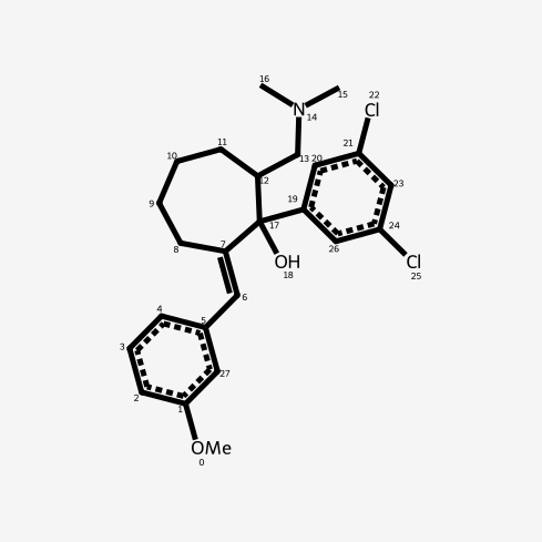 COc1cccc(/C=C2\CCCCC(CN(C)C)C2(O)c2cc(Cl)cc(Cl)c2)c1